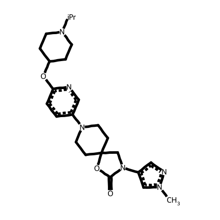 CC(C)N1CCC(Oc2ccc(N3CCC4(CC3)CN(c3cnn(C)c3)C(=O)O4)cn2)CC1